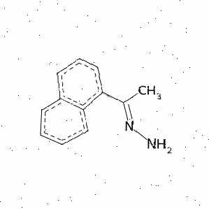 CC(=NN)c1cccc2ccccc12